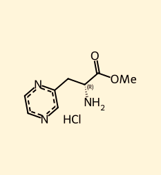 COC(=O)[C@H](N)Cc1cnccn1.Cl